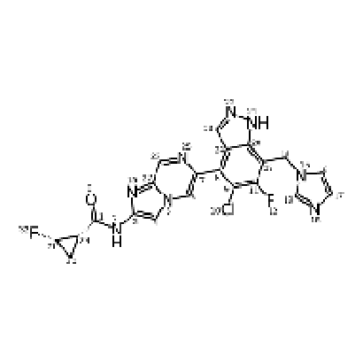 O=C(Nc1cn2cc(-c3c(Cl)c(F)c(Cn4ccnc4)c4[nH]ncc34)ncc2n1)[C@@H]1C[C@@H]1F